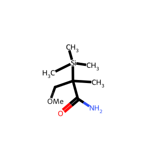 COCC(C)(C(N)=O)[Si](C)(C)C